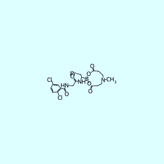 CC(C)CC(NC(=O)CNC(=O)c1cc(Cl)ccc1Cl)B1OC(=O)CCN(C)CCC(=O)O1